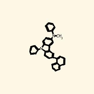 CN(c1ccccc1)c1ccc2c(c1)c1cc(-c3cccc4ccccc34)ccc1n2-c1ccccc1